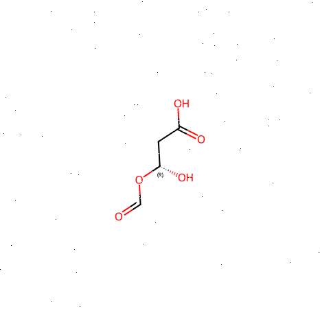 O=CO[C@@H](O)CC(=O)O